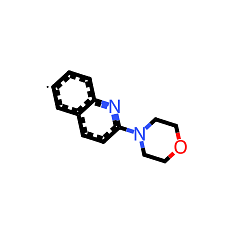 [c]1ccc2nc(N3CCOCC3)ccc2c1